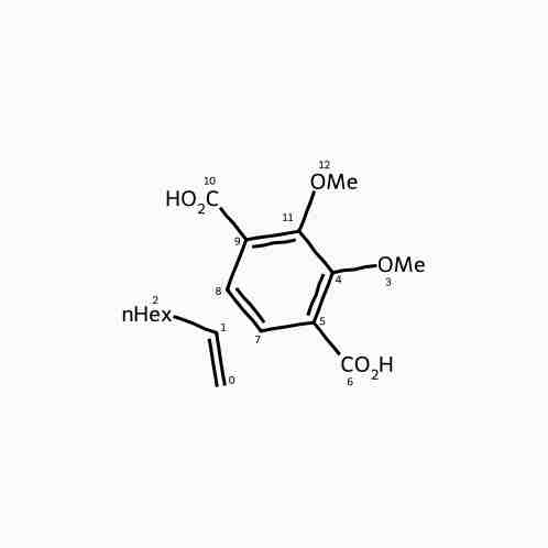 C=CCCCCCC.COc1c(C(=O)O)ccc(C(=O)O)c1OC